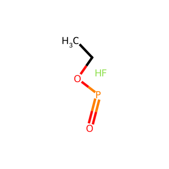 CCOP=O.F